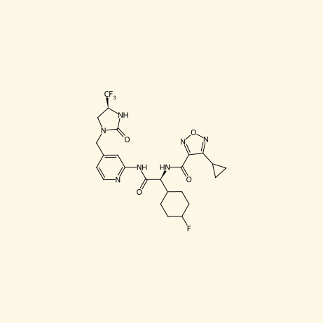 O=C(N[C@H](C(=O)Nc1cc(CN2C[C@@H](C(F)(F)F)NC2=O)ccn1)C1CCC(F)CC1)c1nonc1C1CC1